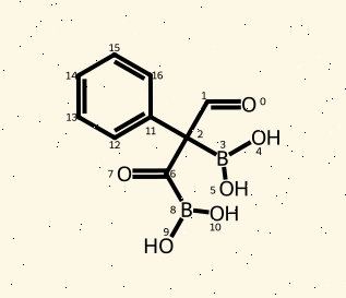 O=CC(B(O)O)(C(=O)B(O)O)c1ccccc1